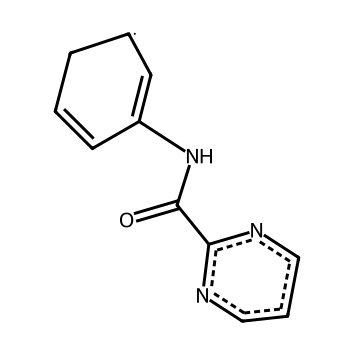 O=C(NC1=C[CH]CC=C1)c1ncccn1